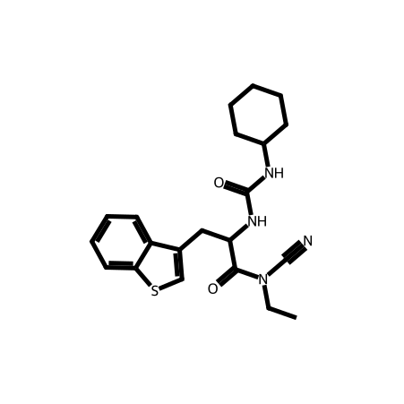 CCN(C#N)C(=O)C(Cc1csc2ccccc12)NC(=O)NC1CCCCC1